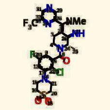 CN/C(=C1/CCN(C(=O)c2cc(F)cc(N3CCS(=O)(=O)CC3)c2Cl)[C@@H](C)C1=N)c1cncc(C(F)(F)F)n1